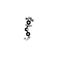 COc1ccc(-c2ccc(-c3nc4cc([N+](=O)[O-])c([N+](=O)[O-])cc4[nH]3)s2)cc1